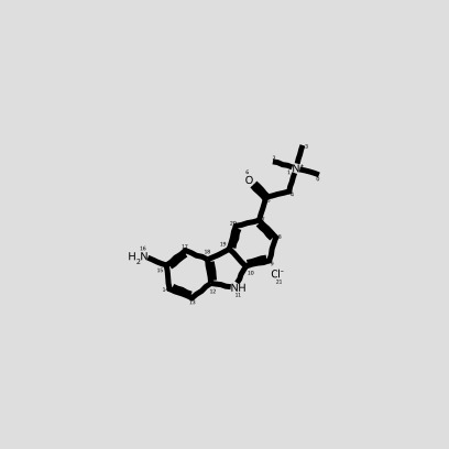 C[N+](C)(C)CC(=O)c1ccc2[nH]c3ccc(N)cc3c2c1.[Cl-]